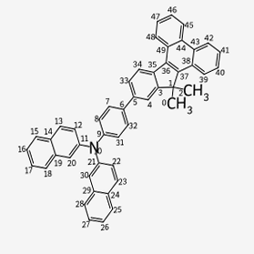 CC1(C)c2cc(-c3ccc(N(c4ccc5ccccc5c4)c4ccc5ccccc5c4)cc3)ccc2-c2c1c1ccccc1c1ccccc21